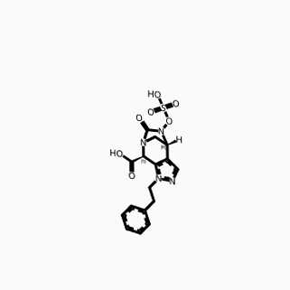 O=C(O)[C@@H]1c2c(cnn2CCc2ccccc2)[C@@H]2CN1C(=O)N2OS(=O)(=O)O